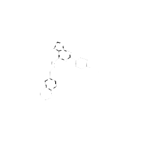 Cc1csc2nc(C3CCC(C(=O)O)CC3)nc(NCCc3ccc4c(c3)OCCO4)c12